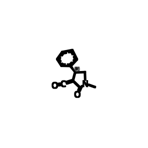 CN1C[C@H](c2ccccc2)C(=C=O)C1=O